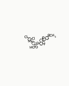 COc1ccc(CN2C(=O)CCc3c(OCC4(C(=O)O)CCN(c5ncc(Cl)cc5Cl)CC4)ccc(F)c32)cc1